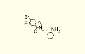 N[C@H]1CCCC[C@@H]1CCn1ccc2cc(Br)c(F)cc2c1=O